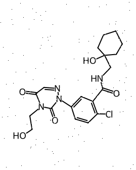 O=C(NCC1(O)CCCCC1)c1cc(-n2ncc(=O)n(CCO)c2=O)ccc1Cl